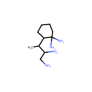 CC(C(N)CN)C1CCCCC1(N)N